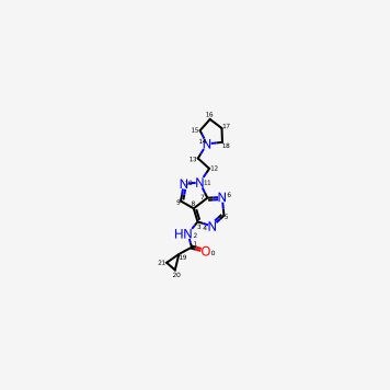 O=C(Nc1ncnc2c1cnn2CCN1CCCC1)C1CC1